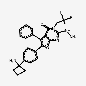 CNc1nc2oc(-c3ccc(C4(N)CCC4)cc3)c(-c3ccccc3)c2c(=O)n1CC(F)(F)F